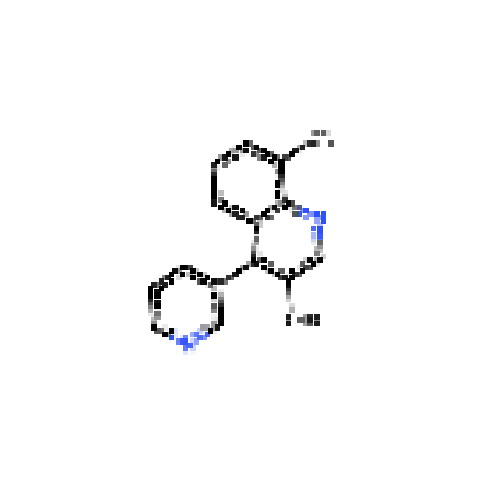 O=Cc1cnc2c(C(F)(F)F)cccc2c1-c1cccnc1